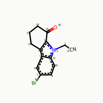 N#CCn1c2c(c3cc(Br)ccc31)CCCC2=O